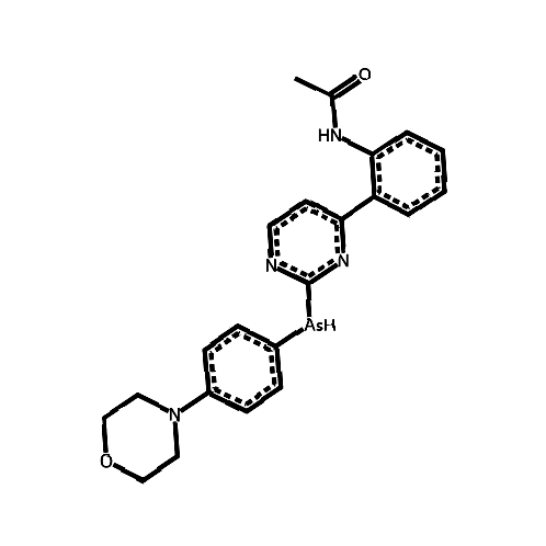 CC(=O)Nc1ccccc1-c1ccnc([AsH]c2ccc(N3CCOCC3)cc2)n1